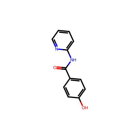 O=C(Nc1ccccn1)c1ccc(O)cc1